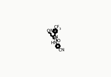 COCCCC1CN(C(=O)Nc2ccc(C#N)cc2)N=C1c1ccc(C(F)(F)F)cc1